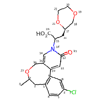 CC1Cc2ccc(Cl)cc2-c2cc(=O)n(C(C[C@@H]3COCCO3)C(=O)O)cc2CO1